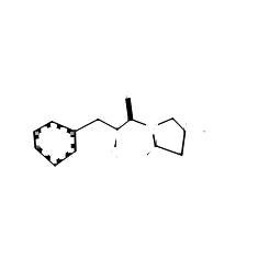 N[C@@H](Cc1ccccc1)C(=O)N1C[C@H](O)C[C@H]1C(=O)O